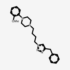 COc1ccccc1N1CCN(CCCCn2cc(Cc3ccccc3)nn2)CC1